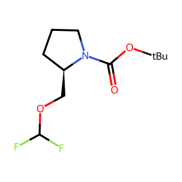 CC(C)(C)OC(=O)N1CCC[C@@H]1COC(F)F